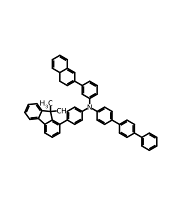 CC1(C)c2ccccc2-c2cccc(-c3ccc(N(c4ccc(-c5ccc(-c6ccccc6)cc5)cc4)c4cccc(C5=CCC6C=CC=CC6=C5)c4)cc3)c21